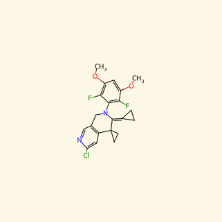 COc1cc(OC)c(F)c(N2Cc3cnc(Cl)cc3C3(CC3)C2=C2CC2)c1F